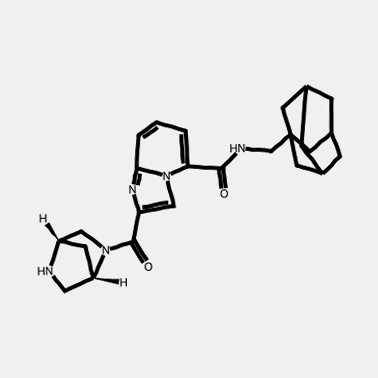 O=C(NCC12CC3CC(CC(C3)C1)C2)c1cccc2nc(C(=O)N3C[C@@H]4C[C@H]3CN4)cn12